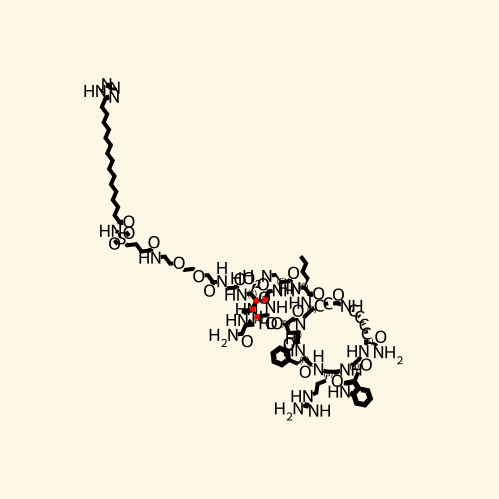 CCCC[C@H](NC(=O)[C@H](CN)NC(=O)[C@H](Cc1c[nH]cn1)NC(=O)[C@H](CCC(N)=O)NC(=O)[C@H](CO)NC(=O)CNC(=O)COCCOCCNC(=O)CCCS(=O)(=O)NC(=O)CCCCCCCCCCCCCCCc1nnn[nH]1)C(=O)N[C@H]1CCC(=O)NCCCC[C@@H](C(N)=O)NC(=O)[C@H](Cc2c[nH]c3ccccc23)NC(=O)[C@H](CCCNC(=N)N)NC(=O)[C@@H](Cc2ccccc2)NC(=O)[C@@H]2C[C@@H](O)CN2C1=O